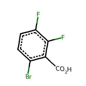 O=C(O)c1c(Br)ccc(F)c1F